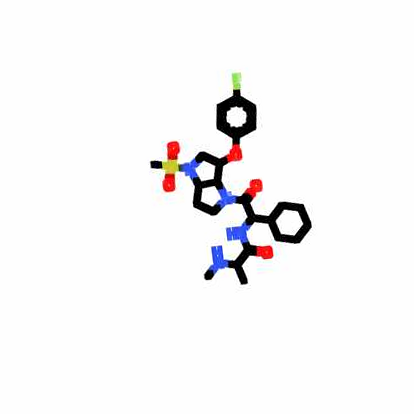 CNC(C)C(=O)NC(C(=O)N1CCC2C1C(Oc1ccc(F)cc1)CN2S(C)(=O)=O)C1CCCCC1